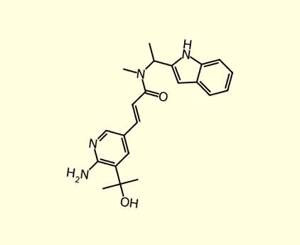 CC(c1cc2ccccc2[nH]1)N(C)C(=O)C=Cc1cnc(N)c(C(C)(C)O)c1